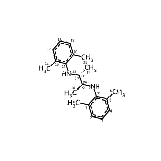 Cc1cccc(C)c1N[C@@H](C)[C@@H](C)Nc1c(C)cccc1C